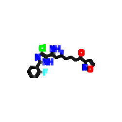 N[C@@H](CCCCCC(=O)c1ccon1)c1[nH]c(-c2ccccc2F)nc1Cl